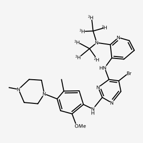 [2H]C([2H])([2H])N(c1ncccc1Nc1nc(Nc2cc(C)c(N3CCN(C)CC3)cc2OC)ncc1Br)C([2H])([2H])[2H]